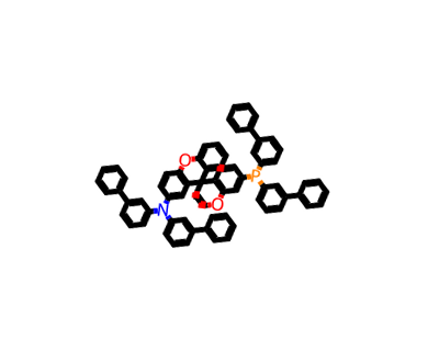 c1ccc(-c2cccc(N(c3cccc(-c4ccccc4)c3)c3ccc4c(c3)C3(c5ccccc5Oc5cc(P(c6cccc(-c7ccccc7)c6)c6cccc(-c7ccccc7)c6)ccc53)c3ccccc3O4)c2)cc1